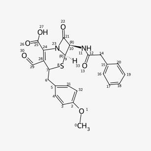 COc1ccc(CC2S[C@@H]3[C@H](NC(=O)Cc4ccccc4)C(=O)N3C(C(=O)O)=C2C=O)cc1